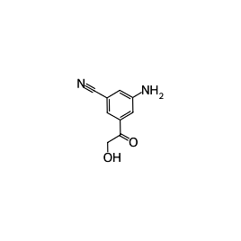 N#Cc1cc(N)cc(C(=O)CO)c1